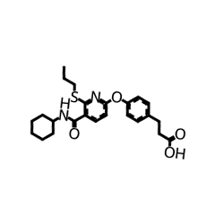 CCCSc1nc(Oc2ccc(CCC(=O)O)cc2)ccc1C(=O)NC1CCCCC1